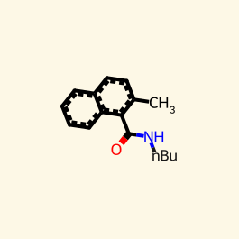 CCCCNC(=O)c1c(C)ccc2ccccc12